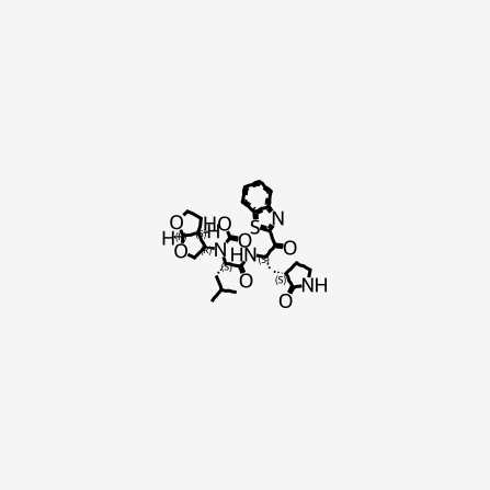 CC(C)C[C@@H](C(=O)N[C@@H](C[C@@H]1CCNC1=O)C(=O)c1nc2ccccc2s1)N(C(=O)O)[C@H]1CO[C@H]2OCC[C@H]21